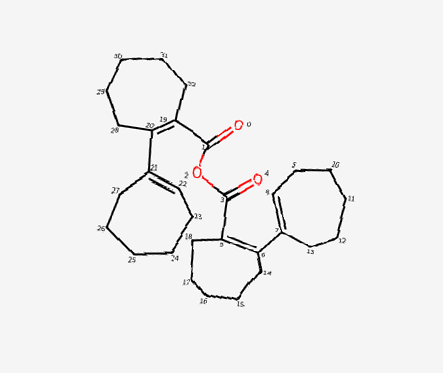 O=C(OC(=O)C1=C(C2=CCCCCC2)CCCCC1)C1=C(C2=CCCCCC2)CCCCC1